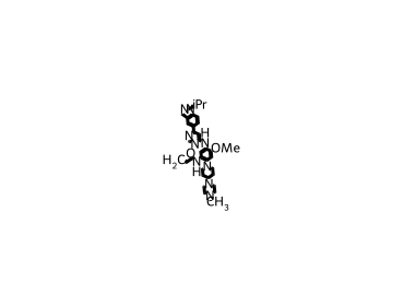 C=CC(=O)Nc1cc(Nc2cc(-c3ccc4c(cnn4C(C)C)c3)ncn2)c(OC)cc1N1CCC(N2CCN(C)CC2)CC1